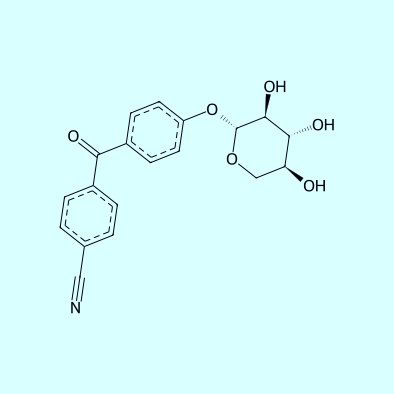 N#Cc1ccc(C(=O)c2ccc(O[C@H]3OC[C@H](O)[C@@H](O)[C@@H]3O)cc2)cc1